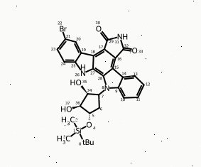 CC(C)(C)[Si](C)(C)O[C@H]1CC(n2c3ccccc3c3c4c(c5c6cc(Br)ccc6[nH]c5c32)C(=O)NC4=O)[C@H](O)[C@@H]1O